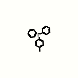 Cc1ccc(Pc2ccccc2)cc1.c1ccccc1